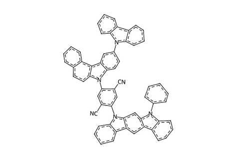 N#Cc1cc(-n2c3ccc(-n4c5ccccc5c5ccccc54)cc3c3c4ccccc4ccc32)c(C#N)cc1-n1c2ccccc2c2cc3c4ccccc4n(-c4ccccc4)c3cc21